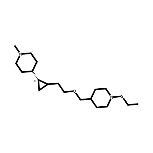 CCSN1CCC(COCCC2C[C@@H]2C2CCN(C)CC2)CC1